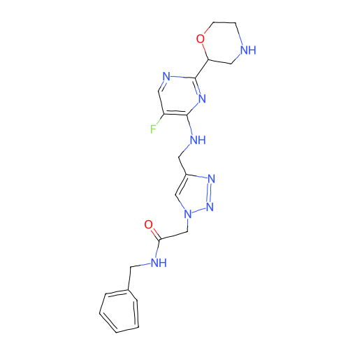 O=C(Cn1cc(CNc2nc(C3CNCCO3)ncc2F)nn1)NCc1ccccc1